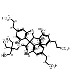 CC(c1c(C(C)(C)C)cc(CCC(=O)O)cc1C(C)(C)C)C(C(=S)OCC(CO)(CO)CO)(c1c(C(C)(C)C)cc(CCC(=O)O)cc1C(C)(C)C)c1c(C(C)(C)C)cc(CCC(=O)O)cc1C(C)(C)C